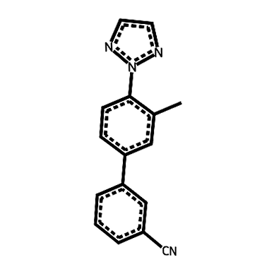 Cc1cc(-c2cccc(C#N)c2)ccc1-n1nccn1